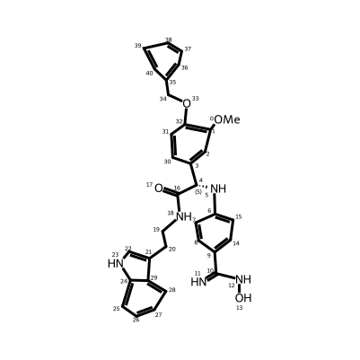 COc1cc([C@H](Nc2ccc(C(=N)NO)cc2)C(=O)NCCc2c[nH]c3ccccc23)ccc1OCc1ccccc1